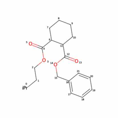 CC(C)CCOC(=O)C1CCCCC1C(=O)OCc1ccccc1